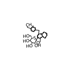 CCc1ccc(Cc2cc3c(c4ccccc24)CO[C@]32S[C@H](CO)[C@@H](O)[C@H](O)[C@H]2O)cc1